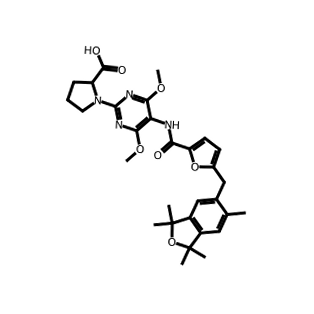 COc1nc(N2CCCC2C(=O)O)nc(OC)c1NC(=O)c1ccc(Cc2cc3c(cc2C)C(C)(C)OC3(C)C)o1